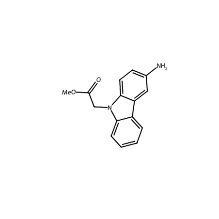 COC(=O)Cn1c2ccccc2c2cc(N)ccc21